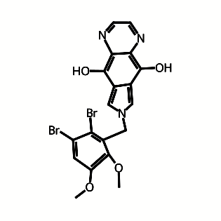 COc1cc(Br)c(Br)c(Cn2cc3c(O)c4nccnc4c(O)c3c2)c1OC